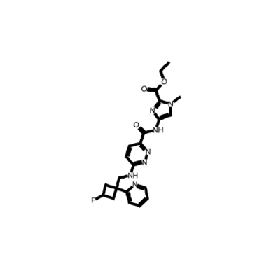 CCOC(=O)c1nc(NC(=O)c2ccc(NCC3(c4ccccn4)CC(F)C3)nn2)cn1C